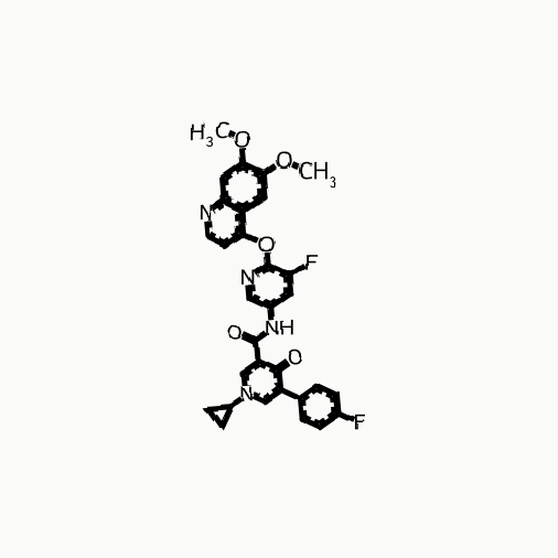 COc1cc2nccc(Oc3ncc(NC(=O)c4cn(C5CC5)cc(-c5ccc(F)cc5)c4=O)cc3F)c2cc1OC